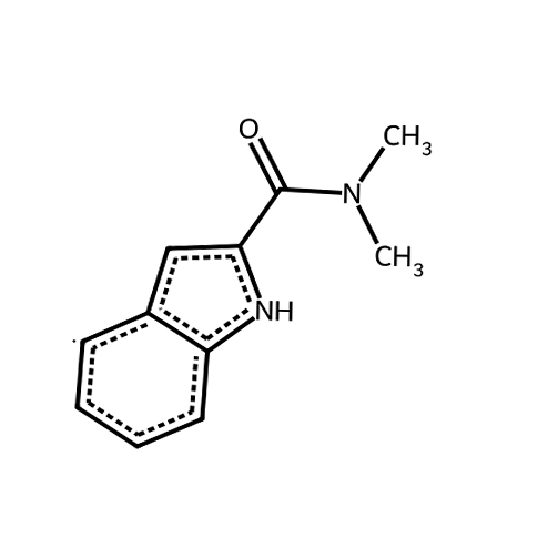 CN(C)C(=O)c1cc2[c]cccc2[nH]1